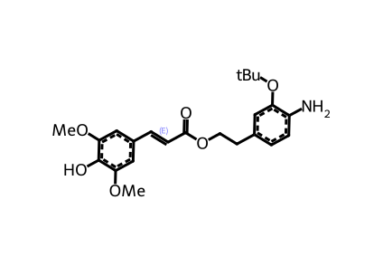 COc1cc(/C=C/C(=O)OCCc2ccc(N)c(OC(C)(C)C)c2)cc(OC)c1O